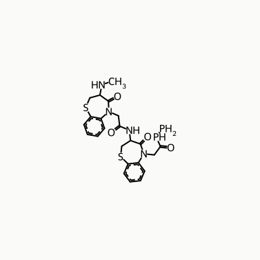 CNC1CSc2ccccc2N(CC(=O)NC2CSc3ccccc3N(CC(=O)PP)C2=O)C1=O